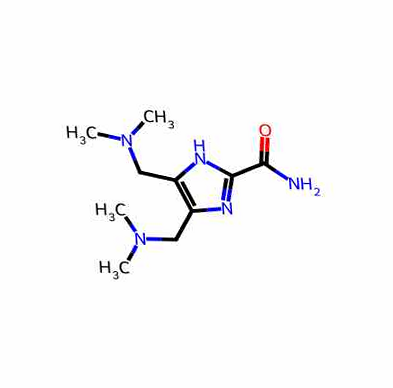 CN(C)Cc1nc(C(N)=O)[nH]c1CN(C)C